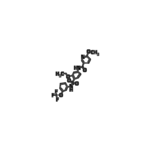 CCOc1cc(NC(=O)c2ccc(OC)nc2)ccc1S(=O)(=O)Nc1cccc(OC(F)(F)F)c1